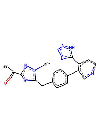 CCCC(=O)c1nc(Cc2ccc(-c3cnccc3-c3nnn[nH]3)cc2)n(CCC)n1